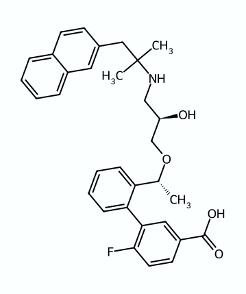 C[C@@H](OC[C@H](O)CNC(C)(C)Cc1ccc2ccccc2c1)c1ccccc1-c1cc(C(=O)O)ccc1F